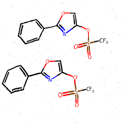 O=S(=O)(Oc1coc(-c2ccccc2)n1)C(F)(F)F.O=S(=O)(Oc1coc(-c2ccccc2)n1)C(F)(F)F